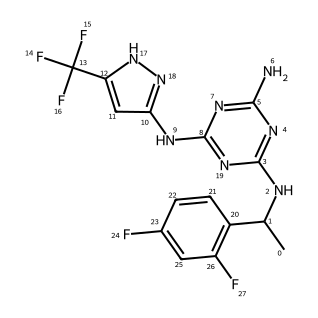 CC(Nc1nc(N)nc(Nc2cc(C(F)(F)F)[nH]n2)n1)c1ccc(F)cc1F